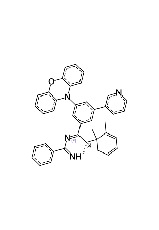 CC1=CC=CCC1(C)[C@H](C)/C(=N\C(=N)c1ccccc1)c1cc(-c2cccnc2)cc(N2c3ccccc3Oc3ccccc32)c1